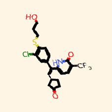 O=C1CC[C@H](C=C(c2ccc(SCCCO)c(Cl)c2)c2ccc(C(F)(F)F)c(=O)[nH]2)C1